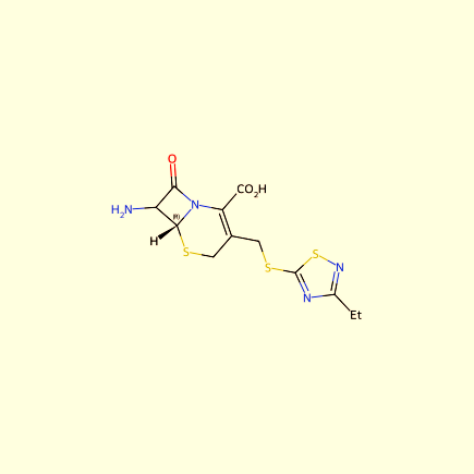 CCc1nsc(SCC2=C(C(=O)O)N3C(=O)C(N)[C@H]3SC2)n1